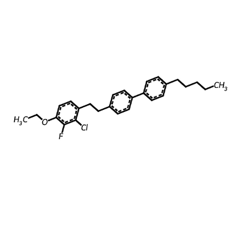 CCCCCc1ccc(-c2ccc(CCc3ccc(OCC)c(F)c3Cl)cc2)cc1